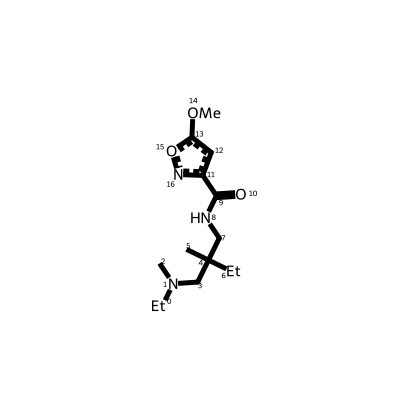 CCN(C)CC(C)(CC)CNC(=O)c1cc(OC)on1